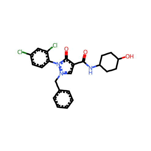 O=C(NC1CCC(O)CC1)c1cn(Cc2ccccc2)n(-c2ccc(Cl)cc2Cl)c1=O